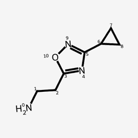 NCCc1nc(C2CC2)no1